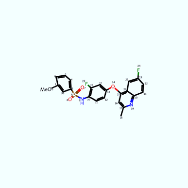 COc1cccc(S(=O)(=O)Nc2ccc(Oc3cc(C)nc4ccc(F)cc34)cc2F)c1